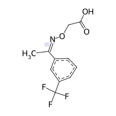 C/C(=N/OCC(=O)O)c1cccc(C(F)(F)F)c1